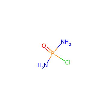 NP(N)(=O)Cl